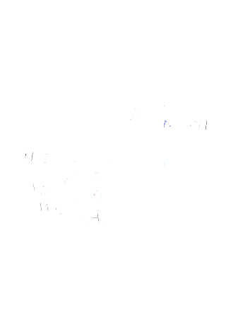 Cn1ccc2cc(B3OC(C)(C)C(C)(C)O3)cc(F)c21